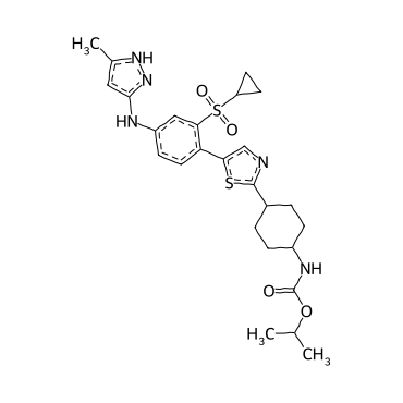 Cc1cc(Nc2ccc(-c3cnc(C4CCC(NC(=O)OC(C)C)CC4)s3)c(S(=O)(=O)C3CC3)c2)n[nH]1